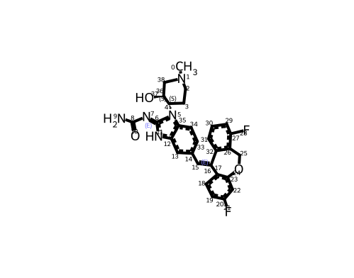 CN1CC[C@H](n2/c(=N/C(N)=O)[nH]c3cc(/C=C4/c5ccc(F)cc5OCc5c(F)cccc54)ccc32)[C@@H](O)C1